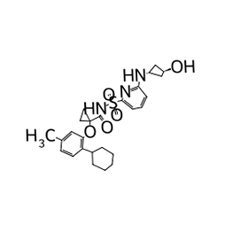 Cc1ccc(C2CCCCC2)c(OC2(C(=O)NS(=O)(=O)c3cccc(N[C@H]4C[C@H](O)C4)n3)CC2)c1